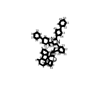 CC1CC=CC2=C1c1ccccc1C21C2=C(CC(C)(c3ccccc3-c3cc(C4(C)C=CC(c5ccccc5)=CC4)nc(-c4ccc(-c5ccccc5)cc4)n3)C=C2)OC2=CC=CC(C)C21